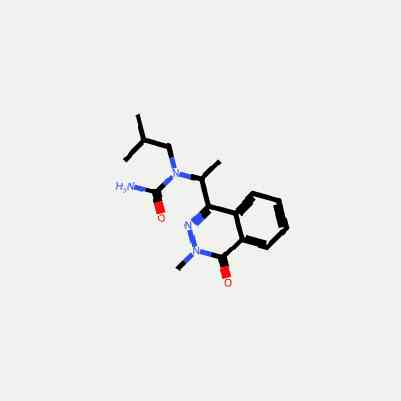 CC(C)CN(C(N)=O)C(C)c1nn(C)c(=O)c2ccccc12